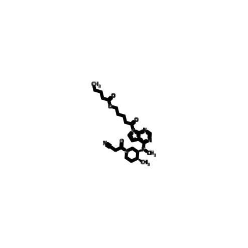 CCCCC(=O)OCCCCC(=O)n1ccc2c(N(C)[C@H]3CN(C(=O)CC#N)CC[C@H]3C)ncnc21